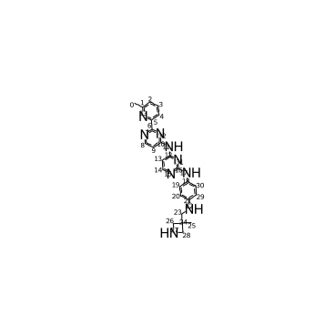 Cc1cccc(-c2nccc(Nc3ccnc(Nc4ccc(NCC5(C)CNC5)cc4)n3)n2)n1